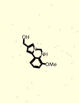 COc1cccc2c1NCn1cc(CO)cc1-2